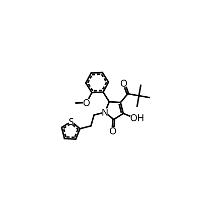 COc1ccccc1C1C(C(=O)C(C)(C)C)=C(O)C(=O)N1CCc1cccs1